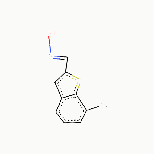 N#Cc1cccc2cc(/C=N/O)sc12